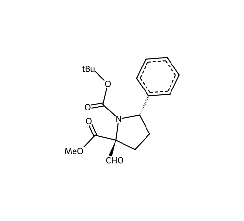 COC(=O)[C@@]1(C=O)CC[C@@H](c2ccccc2)N1C(=O)OC(C)(C)C